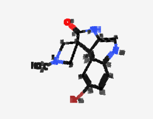 O=C(O)N1CC2(C1)C(=O)Nc1cnc3ccc(Br)cc3c12